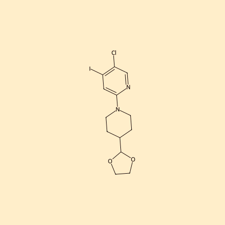 Clc1cnc(N2CCC(C3OCCO3)CC2)cc1I